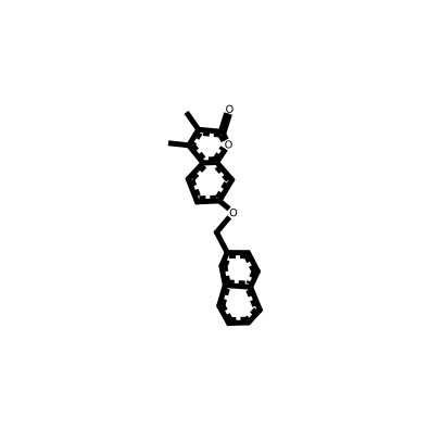 Cc1c(C)c2ccc(OCc3ccc4ccccc4c3)cc2oc1=O